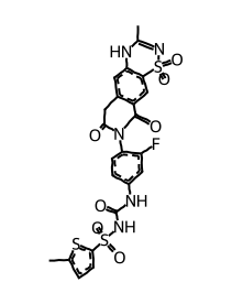 CC1=NS(=O)(=O)c2cc3c(cc2N1)CC(=O)N(c1ccc(NC(=O)NS(=O)(=O)c2ccc(C)s2)cc1F)C3=O